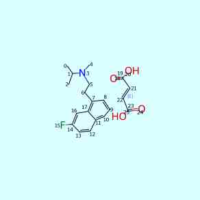 CC(C)N(C)CCc1cccc2ccc(F)cc12.O=C(O)/C=C/C(=O)O